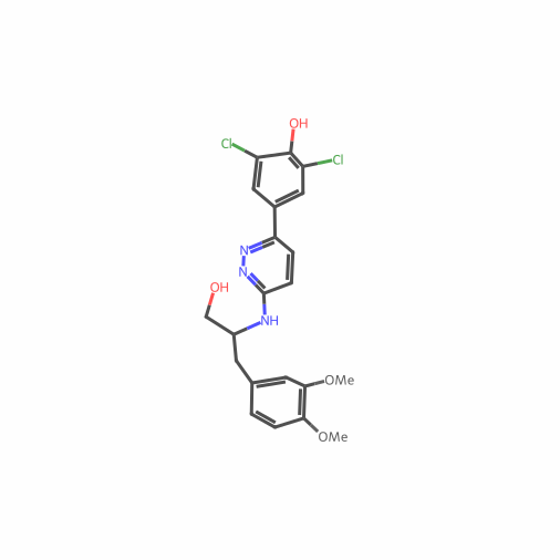 COc1ccc(CC(CO)Nc2ccc(-c3cc(Cl)c(O)c(Cl)c3)nn2)cc1OC